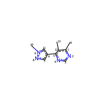 Cc1ncnc(-c2cnn(C)c2)c1C